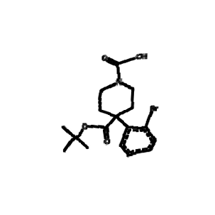 CC(C)(C)OC(=O)C1(c2ccccc2Br)CCN(C(=O)O)CC1